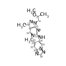 COC(C)Cn1nc(C)c2cnc(Nc3cn4ncnc4cc3C)nc21